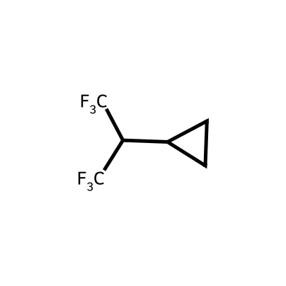 FC(F)(F)C(C1CC1)C(F)(F)F